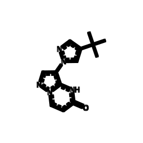 CC(C)(C)c1cnn(-c2cnn3ccc(=O)[nH]c23)c1